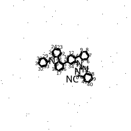 N#Cc1nc(-n2c3ccccc3c3ccc(-c4cccc5c4c4ccccc4n5-c4ccccc4)cc32)nc2ccccc12